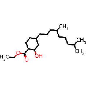 CCOC(=O)C1CCC(CCCC(C)CCCC(C)C)CC1O